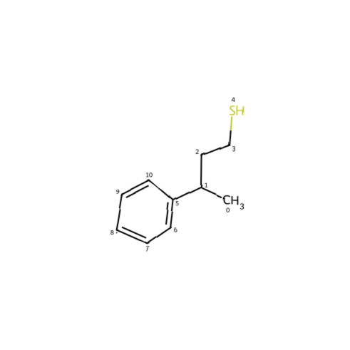 CC(CCS)c1cc[c]cc1